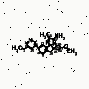 CCc1cncc(-c2ccc3c(c2)C2(N=C(C)C(N)=N2)[C@]2(CC[C@H](OC)CC2)C3)c1